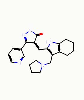 O=C1NN=C(c2cccnc2)C1=Cc1[nH]c2c(c1CN1CCCC1)CCCC2